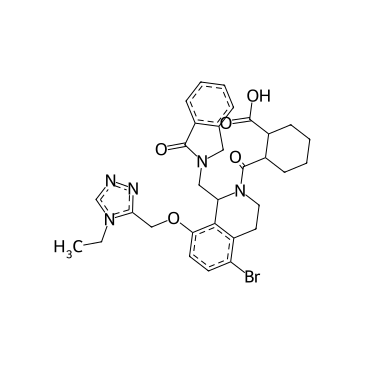 CCn1cnnc1COc1ccc(Br)c2c1C(CN1Cc3ccccc3C1=O)N(C(=O)C1CCCCC1C(=O)O)CC2